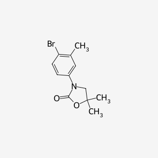 Cc1cc(N2CC(C)(C)OC2=O)ccc1Br